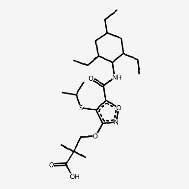 CCC1CC(CC)C(NC(=O)c2onc(OCC(C)(C)C(=O)O)c2SC(C)C)C(CC)C1